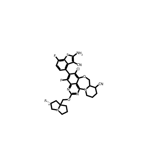 N#Cc1c(N)sc2c(F)ccc(-c3c(Cl)c4c5c(nc(OCC67CCCN6C[C@H](F)C7)nc5c3F)N3CCCC(C#N)C3CO4)c12